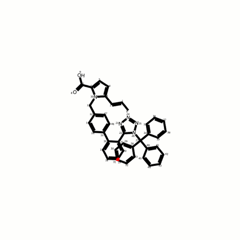 CC=Cc1ccc(C(=O)O)n1Cc1ccc(-c2ccccc2-c2nnnn2C(c2ccccc2)(c2ccccc2)c2ccccc2)cc1